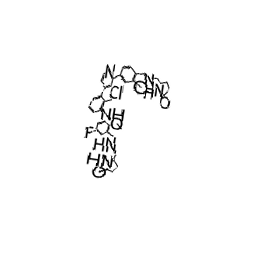 COc1cc(-c2nccc(-c3cccc(Nc4cc(F)cc(CNCC5CCC(=O)N5)c4OC)c3C)c2Cl)ccc1CNCC1CCC(=O)N1